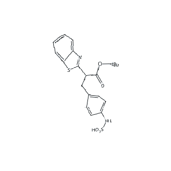 CC(C)(C)OC(=O)C(Cc1[c]cc(NS(=O)(=O)O)cc1)c1nc2ccccc2s1